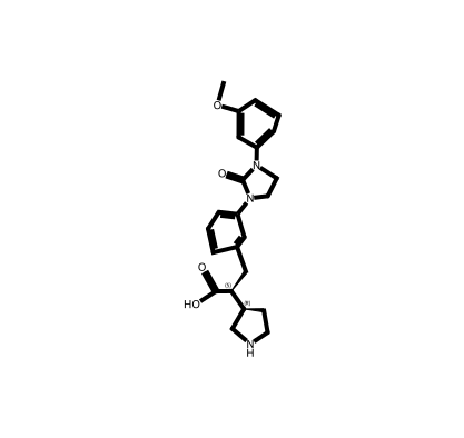 COc1cccc(N2CCN(c3cccc(C[C@H](C(=O)O)[C@H]4CCNC4)c3)C2=O)c1